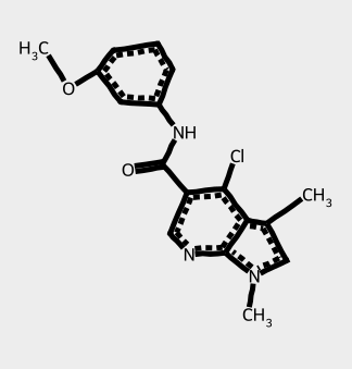 COc1cccc(NC(=O)c2cnc3c(c(C)cn3C)c2Cl)c1